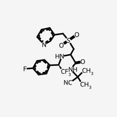 CC(C)(C#N)NC(=O)C(CS(=O)(=O)Cc1cccnc1)N[C@H](c1ccc(F)cc1)C(F)(F)F